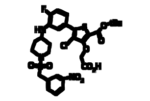 CC(C)(C)OC(=O)c1sc(-c2ccc(F)c(NC3CCN(S(=O)(=O)Cc4cccc([N+](=O)[O-])c4)CC3)c2)c(Cl)c1OCC(=O)O